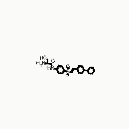 C[C@](N)(CO)C(=O)Nc1ccc(S(=O)(=O)C=Cc2ccc(-c3ccccc3)cc2)cc1